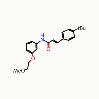 COCCOc1cccc(NC(=O)C=Cc2ccc(C(C)(C)C)cc2)c1